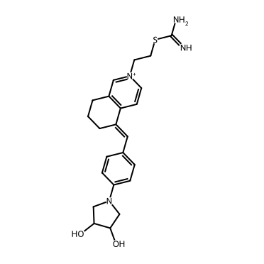 N=C(N)SCC[n+]1ccc2c(c1)CCC/C2=C\c1ccc(N2CC(O)C(O)C2)cc1